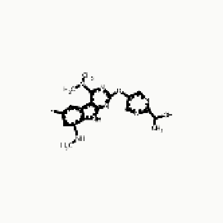 CNc1cc(F)cc2c1[nH]c1nc(Oc3cnc(C(C)O)nc3)nc(N(C)C)c12